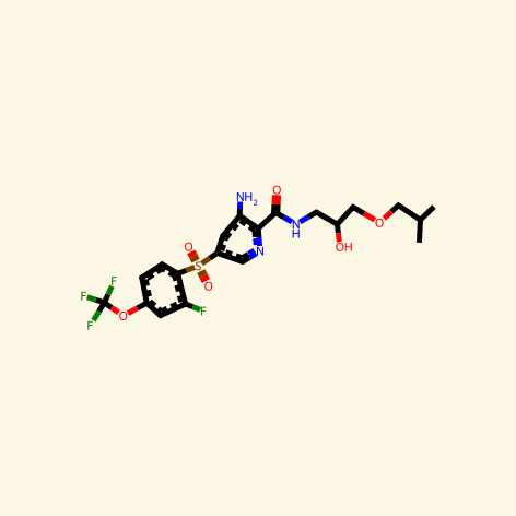 CC(C)COCC(O)CNC(=O)c1ncc(S(=O)(=O)c2ccc(OC(F)(F)F)cc2F)cc1N